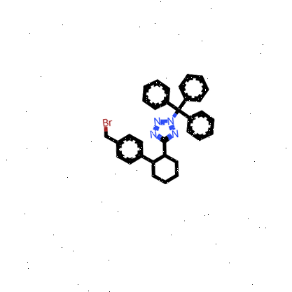 BrCc1ccc(C2CCCCC2c2nnn(C(c3ccccc3)(c3ccccc3)c3ccccc3)n2)cc1